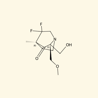 COC[C@@]1(CO)C(=O)[C@@]2(C)CCN1CC2(F)F